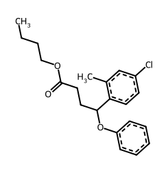 CCCCOC(=O)CCC(Oc1ccccc1)c1ccc(Cl)cc1C